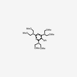 CCCc1c(N(COC)COC)nc(N(COC)COC)nc1N(COC)COC